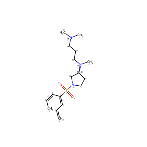 C=C/C=C(\C=C/C)S(=O)(=O)N1CC[C@H](N(C)CCCN(C)C)C1